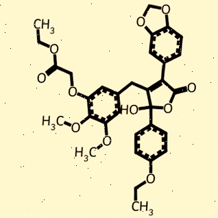 CCOC(=O)COc1cc(CC2=C(c3ccc4c(c3)OCO4)C(=O)OC2(O)c2ccc(OCC)cc2)cc(OC)c1OC